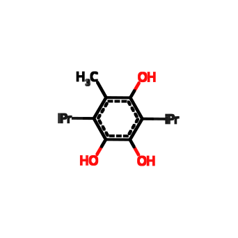 Cc1c(O)c(C(C)C)c(O)c(O)c1C(C)C